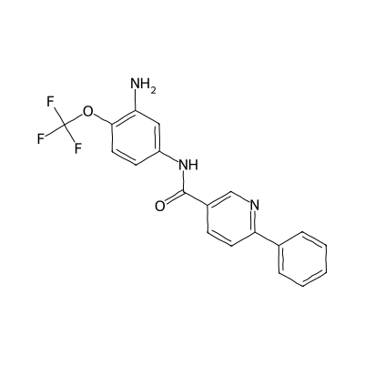 Nc1cc(NC(=O)c2ccc(-c3ccccc3)nc2)ccc1OC(F)(F)F